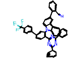 N#Cc1ccccc1-c1ccc2c(c1)c1ccccc1n2-c1cc(-c2ccc(C(F)(F)F)cc2)ccc1-c1nc(-c2ccccc2)nc(-c2ccccc2)n1